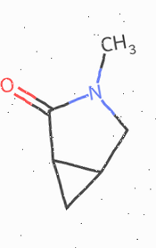 CN1CC2CC2C1=O